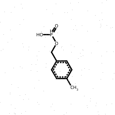 Cc1ccc(CO[PH](=O)O)cc1